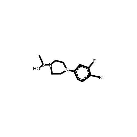 CB(O)N1CCN(c2ccc(Br)c(F)c2)CC1